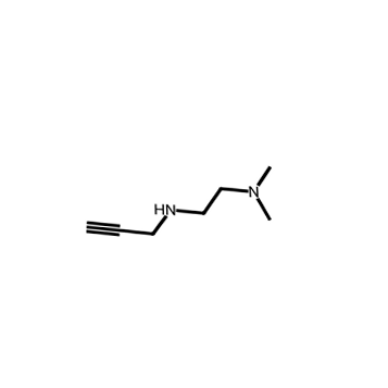 C#CCNCCN(C)C